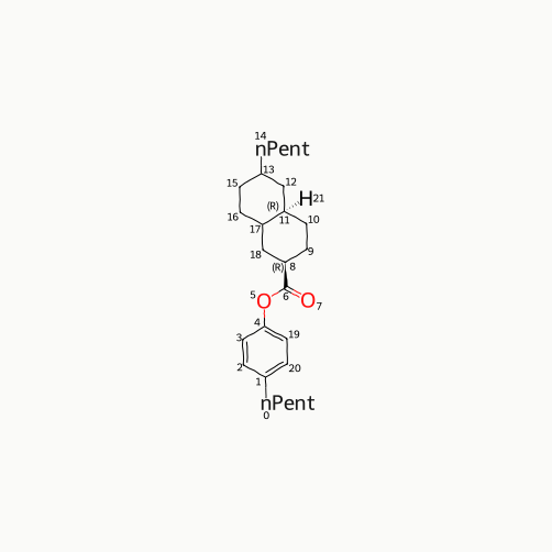 CCCCCc1ccc(OC(=O)[C@@H]2CC[C@@H]3CC(CCCCC)CCC3C2)cc1